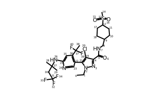 CCn1nc(C(=O)NCC2CCC(S(C)(=O)=O)CC2)c(Cl)c1-c1cnc(NC(C)(C)CC(F)(F)F)cc1C(C)(F)F